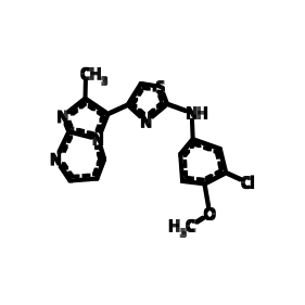 COc1ccc(Nc2nc(-c3c(C)nc4ncccn34)cs2)cc1Cl